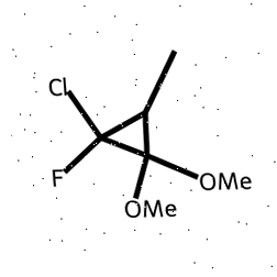 COC1(OC)C(C)C1(F)Cl